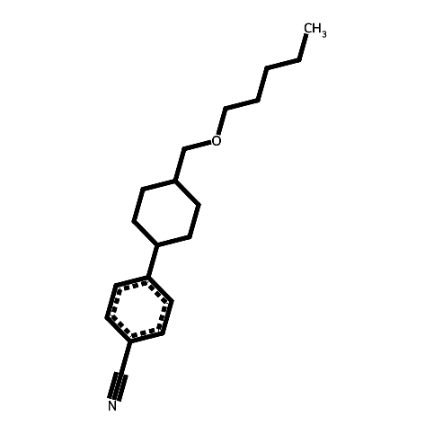 CCCCCOCC1CCC(c2ccc(C#N)cc2)CC1